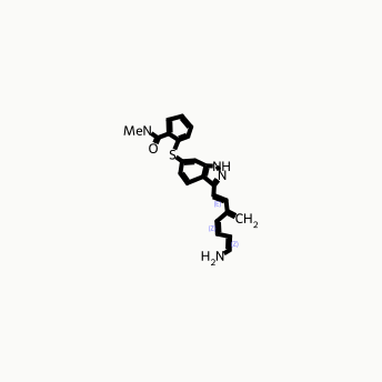 C=C(/C=C\C=C/N)/C=C/c1n[nH]c2cc(Sc3ccccc3C(=O)NC)ccc12